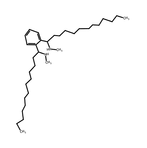 CCCCCCCCCCCCC(NC)c1ccccc1C(CCCCCCCCCCCC)NC